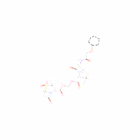 CC1(C)S[C@@H]2[C@H](NC(=O)COc3ccccc3)C(=O)N2[C@H]1C(=O)OCOC(=O)[C@@H]1N2C(=O)C[C@H]2S(=O)(=O)C1(C)C